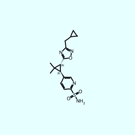 CC1(C)[C@H](c2ccc(S(N)(=O)=O)nc2)[C@H]1c1nc(CC2CC2)no1